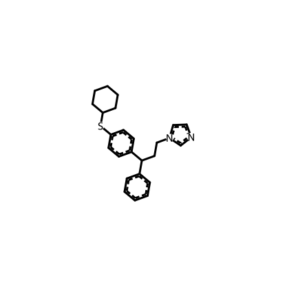 c1ccc(C(CCn2ccnc2)c2ccc(SC3CCCCC3)cc2)cc1